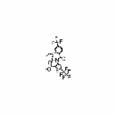 CCSc1cc(C(F)(F)F)ccc1C(=O)Nc1cc(C(F)(F)C(F)(F)F)sc1C(=O)OC